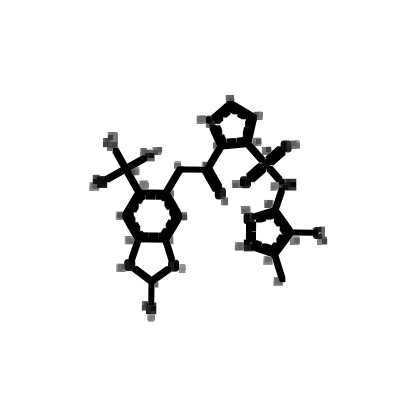 [2H]C1Oc2cc(CC(=O)c3sccc3S(=O)(=O)Nc3onc(C)c3Cl)c(C([2H])([2H])[2H])cc2O1